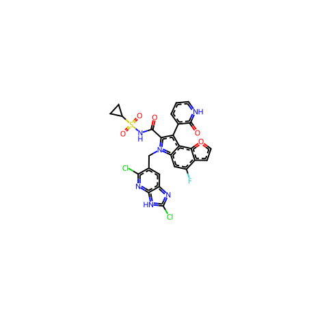 O=C(NS(=O)(=O)C1CC1)c1c(-c2ccc[nH]c2=O)c2c3occc3c(F)cc2n1Cc1cc2nc(Cl)[nH]c2nc1Cl